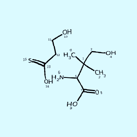 CC(C)(CO)C(N)C(=O)O.OCCC(O)=S